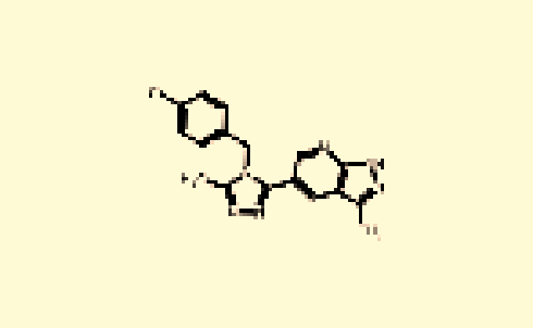 Cc1n[nH]c2ncc(-c3nnc(C)n3Cc3ccc(Cl)cc3)cc12